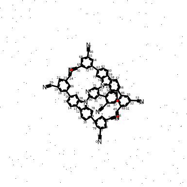 N#Cc1cc(C#N)cc(-c2ccc3c4ccc(-c5cc(C#N)cc(C#N)c5)cc4n(-c4cc(-c5ccccc5C#N)c(-n5c6cc(-c7cc(C#N)cc(C#N)c7)ccc6c6ccc(-c7cc(C#N)cc(C#N)c7)cc65)cn4)c3c2)c1